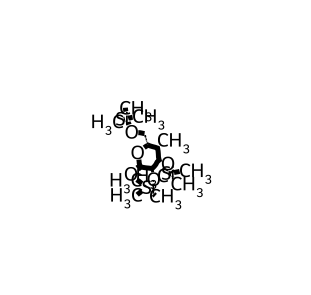 C[C@H]1[C@H](O[Si](C)(C)C)[C@@H](O[Si](C)(C)C)C(=O)O[C@@H]1CO[Si](C)(C)C